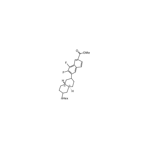 CCCCCCC1CC[C@@H]2CC(c3cc4ccc(C(=O)OC)cc4c(F)c3F)CC[C@H]2C1